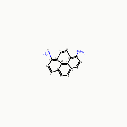 Nc1ccc2ccc3ccc(N)c4ccc1c2c34